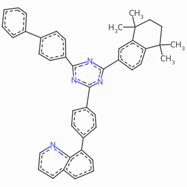 CC1(C)CCC(C)(C)c2cc(-c3nc(-c4ccc(-c5ccccc5)cc4)nc(-c4ccc(-c5cccc6cccnc56)cc4)n3)ccc21